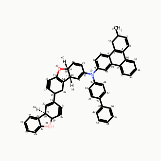 CC1C=Cc2c(c3ccc(N(C4=C[C@@H]5C6=C(C#CC(C7=C[C@@H]8c9ccccc9BC8C#C7)C6)O[C@@H]5C=C4)c4ccc(-c5ccccc5)cc4)cc3c3ccccc23)C1